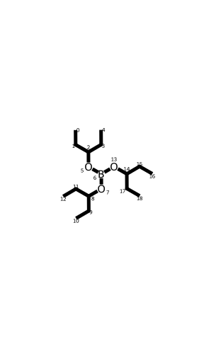 CCC(CC)OB(OC(CC)CC)OC(CC)CC